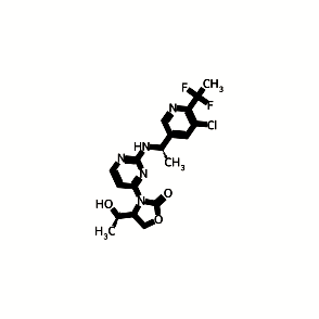 C[C@H](Nc1nccc(N2C(=O)OCC2[C@@H](C)O)n1)c1cnc(C(C)(F)F)c(Cl)c1